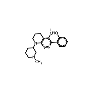 Cc1c(-c2ccccc2O)nnc2c1CCCN2C1CCCN(C)C1